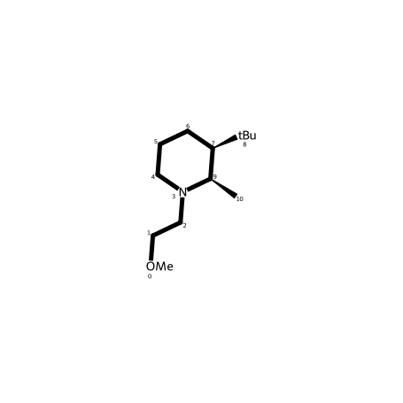 COCCN1CCC[C@@H](C(C)(C)C)[C@H]1C